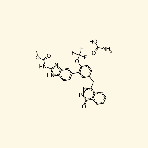 COC(=O)Nc1nc2cc(-c3cc(Cc4n[nH]c(=O)c5ccccc45)ccc3OC(F)(F)F)ccc2[nH]1.NC(=O)O